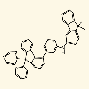 CC1(C)c2ccccc2-c2cc(Nc3cccc(-c4cccc5c4-c4ccccc4C5(c4ccccc4)c4ccccc4)c3)ccc21